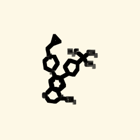 CN1CCOc2cc(N3CCN(CC4CC4)CC3)c(C3CCC(C(C)(C)C)CC3)cc21